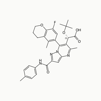 Cc1ccc(NC(=O)c2cc3nc(C)c([C@H](OC(C)(C)C)C(=O)O)c(-c4cc(F)c5c(c4C)CCCO5)n3n2)cc1